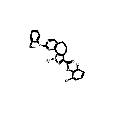 CCc1cccc(CC)c1NC(=O)c1nn(C)c2c1CCCc1cnc(Nc3ccccc3OC)nc1-2